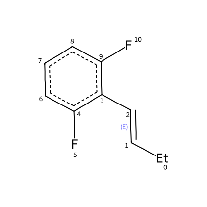 CC/C=C/c1c(F)cccc1F